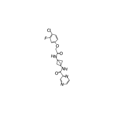 O=C(COc1ccc(Cl)c(F)c1)NC12CC(NC(=O)c3cnccn3)(C1)C2